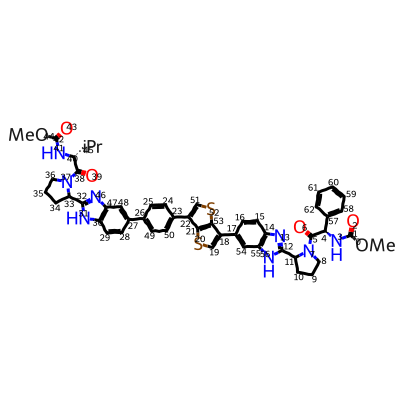 COC(=O)N[C@@H](C(=O)N1CCCC1c1nc2ccc(-c3csc4c(-c5ccc(-c6ccc7[nH]c(C8CCCN8C(=O)[C@H](NC(=O)OC)C(C)C)nc7c6)cc5)csc34)cc2[nH]1)c1ccccc1